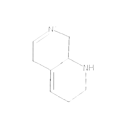 C1=[N+]CC2NCCC=C2C1